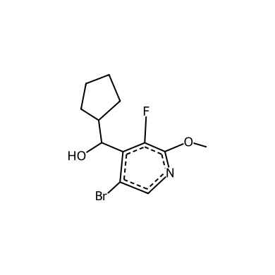 COc1ncc(Br)c(C(O)C2CCCC2)c1F